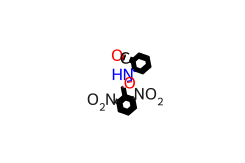 O=C=C1C=CC=CC1NOCc1c([N+](=O)[O-])cccc1[N+](=O)[O-]